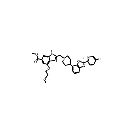 COCCOc1cc(C(=O)OC)cc2[nH]c(CN3CCC(c4cccc5c4O[C@@](C)(c4ccc(Cl)cn4)O5)CC3)nc12